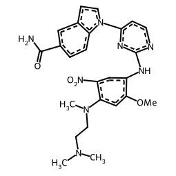 COc1cc(N(C)CCN(C)C)c([N+](=O)[O-])cc1Nc1nccc(-n2ccc3cc(C(N)=O)ccc32)n1